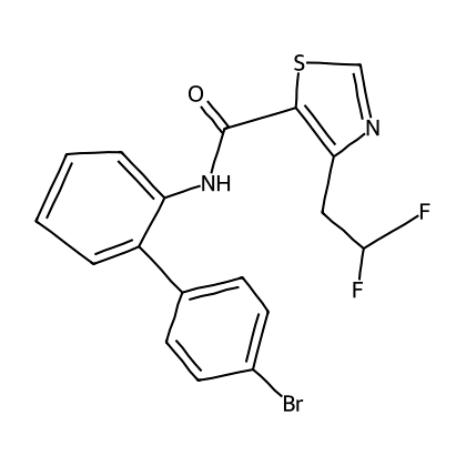 O=C(Nc1ccccc1-c1ccc(Br)cc1)c1scnc1CC(F)F